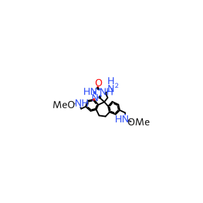 CONCc1ccc2c(c1)CCc1cc(CNOC)ccc1C2(CCN)c1n[nH]c(=O)[nH]1